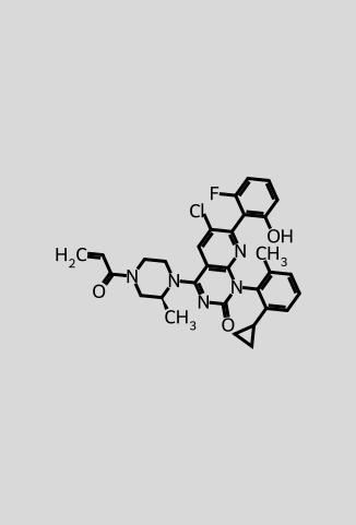 C=CC(=O)N1CCN(c2nc(=O)n(-c3c(C)cccc3C3CC3)c3nc(-c4c(O)cccc4F)c(Cl)cc23)[C@@H](C)C1